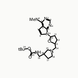 CNc1ncnc2c1ccn2[C@H]1CCC(CN2CCC(CNC(=O)OC(C)(C)C)C2)O1